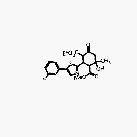 CCOC(=O)C1C(=O)CC(C)(O)C(C(=O)OC)C1c1ncc(-c2cccc(F)c2)s1